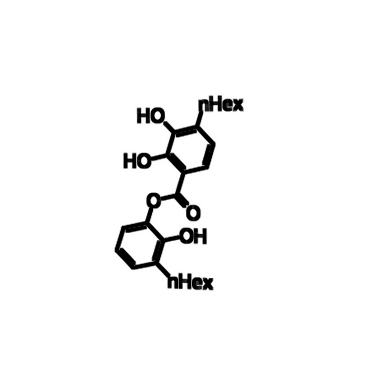 CCCCCCc1cccc(OC(=O)c2ccc(CCCCCC)c(O)c2O)c1O